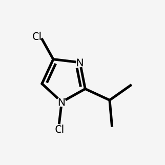 CC(C)c1nc(Cl)cn1Cl